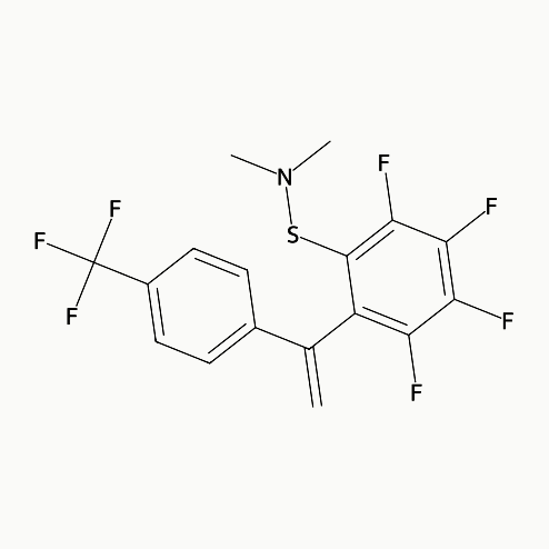 C=C(c1ccc(C(F)(F)F)cc1)c1c(F)c(F)c(F)c(F)c1SN(C)C